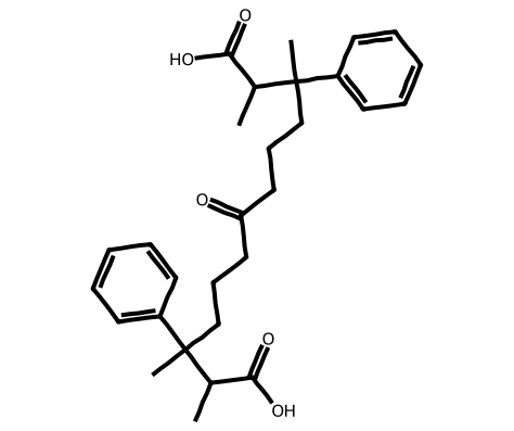 CC(C(=O)O)C(C)(CCCC(=O)CCCC(C)(c1ccccc1)C(C)C(=O)O)c1ccccc1